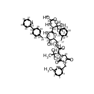 Cc1cccc(CN2C(=O)CN([C@H](C(=O)N[C@@H](Cc3ccccc3)C[C@@H](O)[C@H](Cc3ccc(-c4ccccn4)cc3)NC(=O)[C@@H](NC(=O)O)C(C)(C)C)C(C)(C)C)C2=O)n1